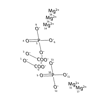 O=C([O-])[O-].O=C([O-])[O-].O=P([O-])([O-])[O-].O=P([O-])([O-])[O-].[Mg+2].[Mg+2].[Mg+2].[Mg+2].[Mg+2]